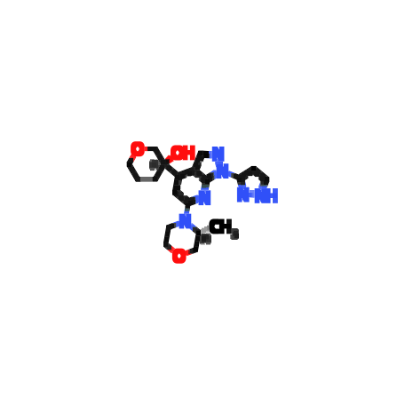 C[C@@H]1COCCN1c1cc([C@]2(O)CCCOC2)c2cnn(-c3cc[nH]n3)c2n1